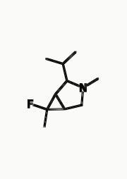 CC(C)C1C2C(CN1C)C2(C)F